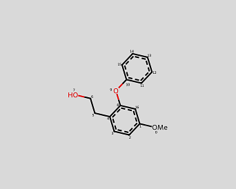 COc1ccc(CCO)c(Oc2ccccc2)c1